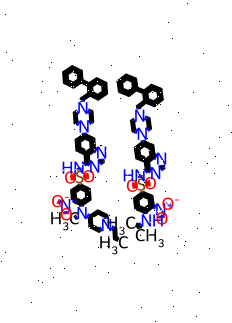 CC(C)Nc1ccc(S(=O)(=O)Nc2ncnc3cc(N4CCN(Cc5ccccc5-c5ccccc5)CC4)ccc23)cc1[N+](=O)[O-].CCCN1CCC(N(C)c2ccc(S(=O)(=O)Nc3ncnc4cc(N5CCN(Cc6ccccc6-c6ccccc6)CC5)ccc34)cc2[N+](=O)[O-])CC1